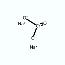 [Na+].[Na+].[O]=[Cr]([O-])[O-]